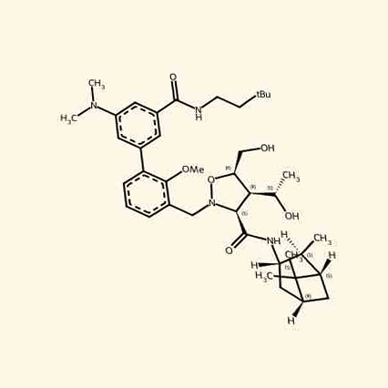 COc1c(CN2O[C@@H](CO)[C@@H]([C@H](C)O)[C@H]2C(=O)N[C@H]2C[C@H]3C[C@@H]([C@@H]2C)C3(C)C)cccc1-c1cc(C(=O)NCCC(C)(C)C)cc(N(C)C)c1